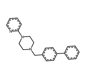 c1ccc(-c2ccc(CN3CCN(c4ccccn4)CC3)cc2)cc1